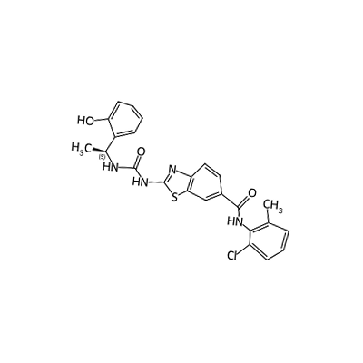 Cc1cccc(Cl)c1NC(=O)c1ccc2nc(NC(=O)N[C@@H](C)c3ccccc3O)sc2c1